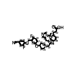 CCn1cncc1Cn1c(CN2CCC(Oc3ccc(F)c(COc4ccc(C#N)cc4F)n3)CC2)nc2ccc(CCC(=O)O)nc21